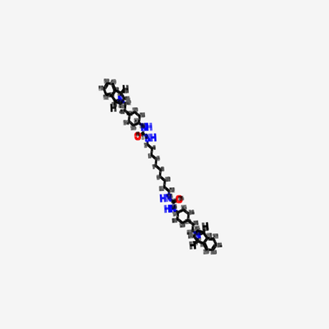 O=C(NCCCCCCCCCCNC(=O)NC1CCC(CCN2[C@@H]3CC[C@H]2c2ccccc23)CC1)NC1CCC(CCN2[C@@H]3CC[C@H]2c2ccccc23)CC1